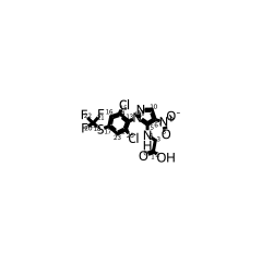 O=C(O)CNc1c([N+](=O)[O-])cnn1-c1c(Cl)cc(SC(F)(F)F)cc1Cl